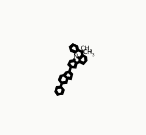 CC1(C)c2ccccc2-n2c3ccc(-c4ccc5cc(-c6ccccc6)ccc5c4)cc3c3cccc1c32